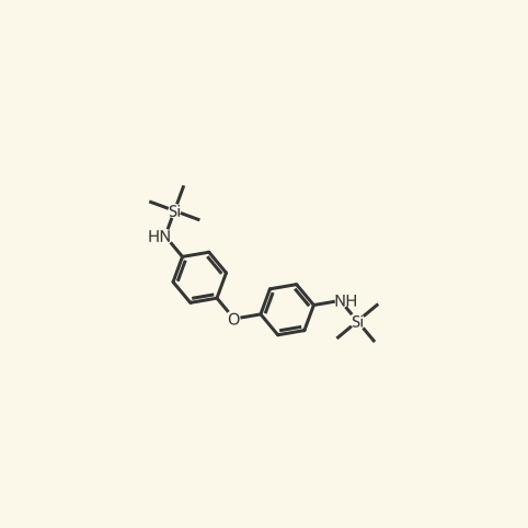 C[Si](C)(C)Nc1ccc(Oc2ccc(N[Si](C)(C)C)cc2)cc1